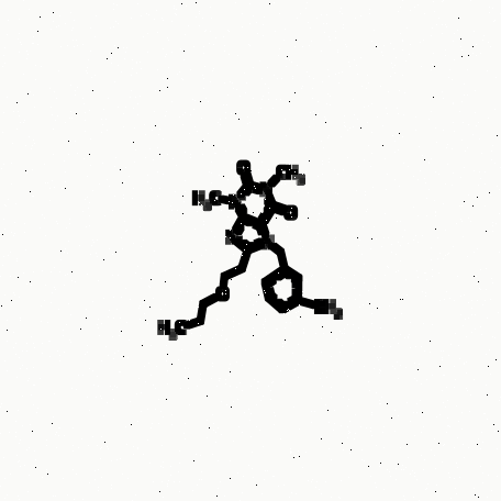 Bc1cccc(Cn2c(CCOCCC)nc3c2c(=O)n(C)c(=O)n3C)c1